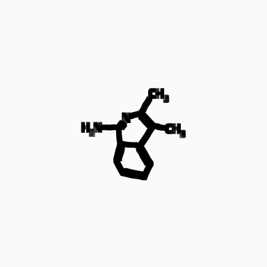 Cc1nc(N)c2ccccc2c1C